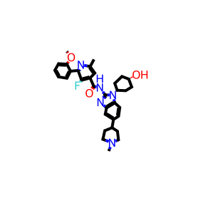 COc1ccccc1-c1nc(C)cc(C(=O)Nc2nc3cc(C4CCN(C)CC4)ccc3n2[C@H]2CC[C@@H](O)CC2)c1F